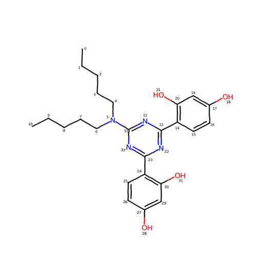 CCCCCN(CCCCC)c1nc(-c2ccc(O)cc2O)nc(-c2ccc(O)cc2O)n1